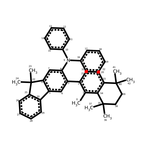 Cc1c(-c2cc3c(cc2N(c2ccccc2)c2ccccc2)C(C)(C)c2ccccc2-3)ccc2c1C(C)(C)CCC2(C)C